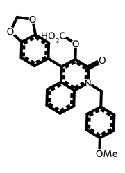 COc1ccc(Cn2c(=O)c(OC(=O)O)c(-c3ccc4c(c3)OCO4)c3ccccc32)cc1